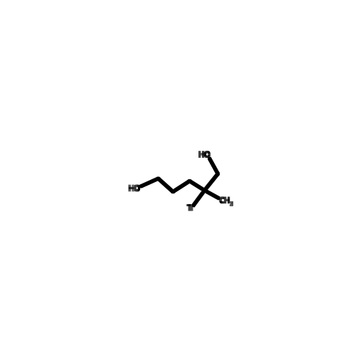 C[C]([Ti])(CO)CCCO